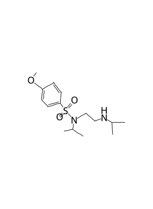 COc1ccc(S(=O)(=O)N(CCNC(C)C)C(C)C)cc1